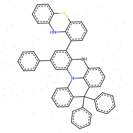 B1c2cccc3c2N(c2ccccc2C3(c2ccccc2)c2ccccc2)c2cc(-c3ccccc3)cc(-c3cccc4c3Nc3ccccc3S4)c21